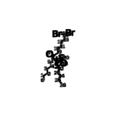 CCCCCCN(C(=O)CCCCCC(Br)Br)P(=O)(SC)SCCCCC